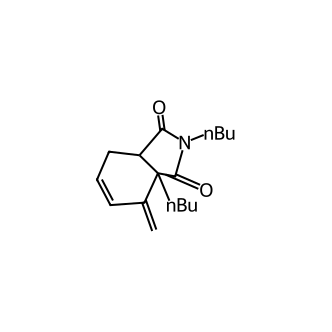 C=C1C=CCC2C(=O)N(CCCC)C(=O)C12CCCC